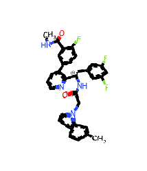 CNC(=O)c1cc(-c2cccnc2[C@H](Cc2cc(F)cc(F)c2)NC(=O)Cn2ccc3ccc(C)cc32)ccc1F